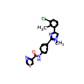 Cc1c(Cl)cccc1-c1cn(C)c(-c2ccc(NC(=O)c3cscn3)cc2)n1